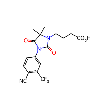 CC1(C)C(=O)N(c2ccc(C#N)c(C(F)(F)F)c2)C(=O)N1CCCC(=O)O